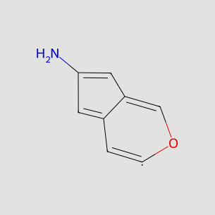 Nc1cc2c[c]occ-2c1